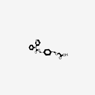 O=C(O)COC[C@H]1CC[C@H](COC(=O)N(c2ccccc2)c2cccnc2)CC1